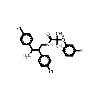 CC(c1ccc(Cl)cc1)C(CNC(=O)C(C)(C)Oc1cccc(F)c1)c1ccc(Cl)cc1